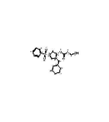 N#CCNC(=O)O[C@H]1C[C@@H](S(=O)(=O)c2ccccc2)CN1CC1CCCCC1